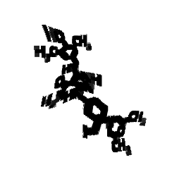 Cc1cc(CNc2[nH]nc(Nc3ccc(N4C[C@@H](C)O[C@@H](C)C4)c(CI)c3)c2C(N)=O)cc(C)c1O